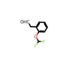 O=CCc1ccccc1OC(F)F